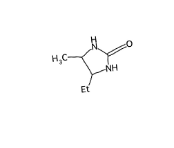 CCC1NC(=O)NC1C